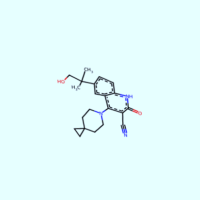 CC(C)(CO)c1ccc2[nH]c(=O)c(C#N)c(N3CCC4(CC3)CC4)c2c1